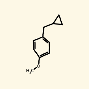 COc1ccc(CC2CC2)cc1